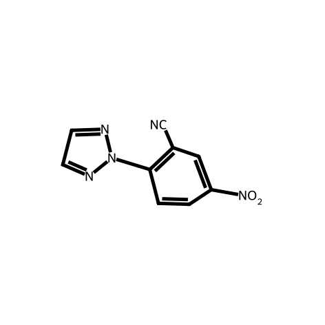 N#Cc1cc([N+](=O)[O-])ccc1-n1nccn1